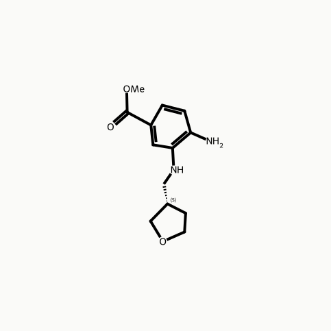 COC(=O)c1ccc(N)c(NC[C@@H]2CCOC2)c1